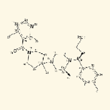 Cc1ccc([C@H](CC[18F])N2CCN(C3(C)CCN(C(=O)c4c(C)ncnc4C)CC3)C[C@@H]2C)cc1